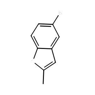 Cc1[c]c2cc(Br)ccc2s1